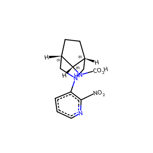 O=C(O)N[C@H]1[C@@H]2CC[C@H]1CN(c1cccnc1[N+](=O)[O-])C2